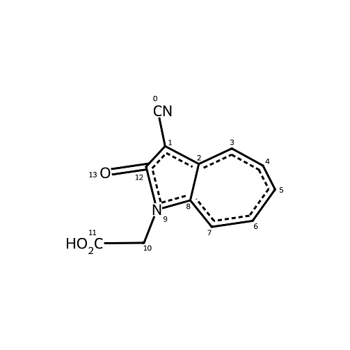 N#Cc1c2cccccc-2n(CC(=O)O)c1=O